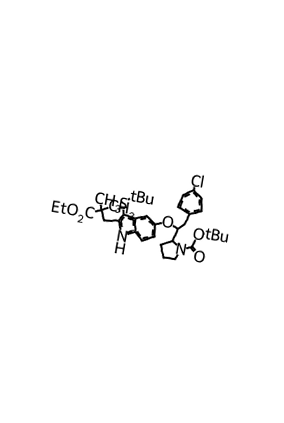 CCOC(=O)C(C)(C)Cc1[nH]c2ccc(OC(Cc3ccc(Cl)cc3)C3CCCN3C(=O)OC(C)(C)C)cc2c1SC(C)(C)C